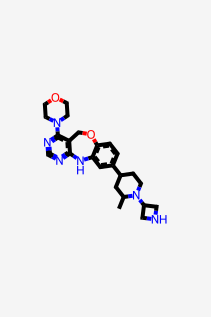 CC1CC(c2ccc3c(c2)Nc2ncnc(N4CCOCC4)c2CO3)CCN1C1CNC1